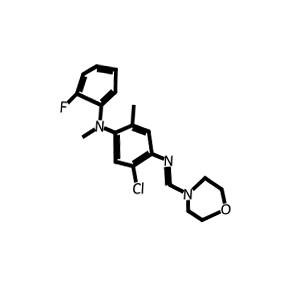 Cc1cc(N=CN2CCOCC2)c(Cl)cc1N(C)c1ccccc1F